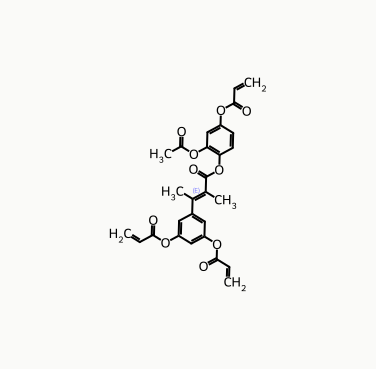 C=CC(=O)Oc1cc(OC(=O)C=C)cc(/C(C)=C(\C)C(=O)Oc2ccc(OC(=O)C=C)cc2OC(C)=O)c1